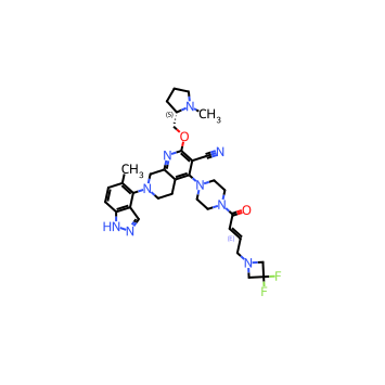 Cc1ccc2[nH]ncc2c1N1CCc2c(nc(OC[C@@H]3CCCN3C)c(C#N)c2N2CCN(C(=O)/C=C/CN3CC(F)(F)C3)CC2)C1